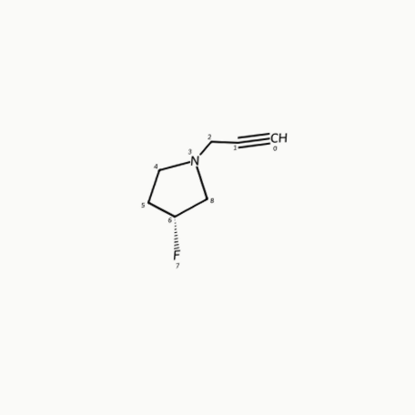 C#CCN1CC[C@@H](F)C1